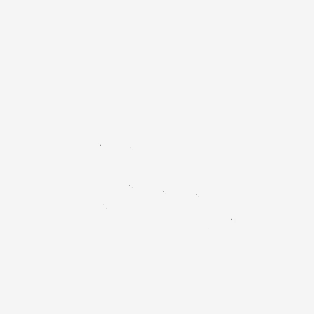 Cc1cccc(C)c1Nc1nc2ccc(N3CCNCC3)nc2n2cncc12